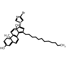 CCCCCCCCCCCCC1=C2C3=C(C=C[C@]2(C)C(n2cnc(Br)c2)=C1)[C@]1(C)CC=C(O)C=C1C=C3